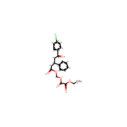 CC(=O)OCOC(=O)C(=O)OCOC(=O)CC(CC(=O)c1ccc(Cl)cc1)c1ccccc1